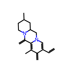 C=CC1=CN2CC3CC(C)CCN3C(=C)C2=C(C)C1=C